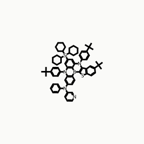 CC(C)(C)c1ccc(N2c3cc(N(c4ccccc4)c4cccnc4)ccc3B3c4sc5ccc(C(C)(C)C)cc5c4N(c4ccc(C(C)(C)C)cc4)c4cc([Si](C5CCCCC5)(C5CCCCC5)C5CCCCC5)cc2c43)cc1